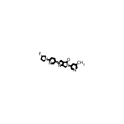 Cc1cncc(N2Cc3nn(-c4ccc(N5CC[C@H](F)C5)nc4)cc3C2=O)c1